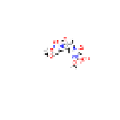 CC(C)(C)OC(=O)NC(CO)C(=O)N1C[C@@H]2C[C@@](N)(C(=O)O)[C@@H](CCCB3OC(C)(C)C(C)(C)O3)[C@@H]2C1